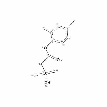 Cc1ccc(OC(=O)CS(=O)(=O)O)c(C)c1